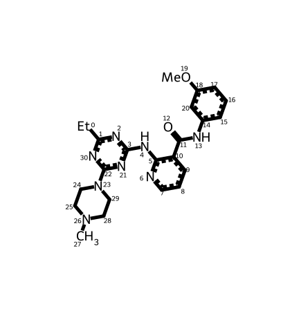 CCc1nc(Nc2ncccc2C(=O)Nc2cccc(OC)c2)nc(N2CCN(C)CC2)n1